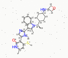 CSc1cc(C)[nH]c(=O)c1-c1cnc(-c2c(C)n([C@H](C)C3CCC(NC4COC4)CC3)c3ccccc23)n1C